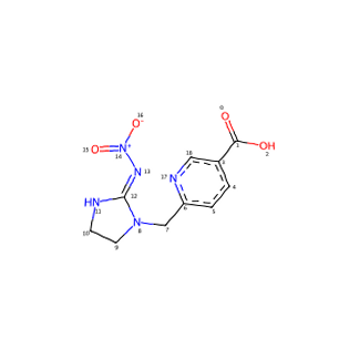 O=C(O)c1ccc(CN2CCNC2=N[N+](=O)[O-])nc1